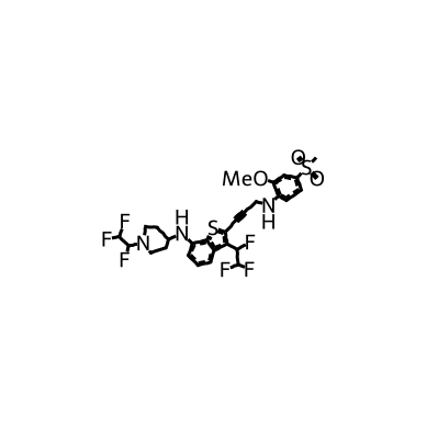 COc1cc(S(C)(=O)=O)ccc1NCC#Cc1sc2c(NC3CCN(C(F)C(F)F)CC3)cccc2c1C(F)C(F)F